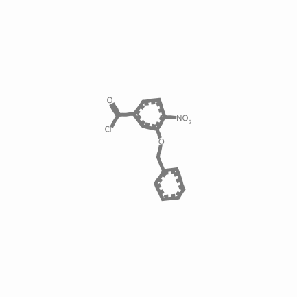 O=C(Cl)c1ccc([N+](=O)[O-])c(OCc2ccccc2)c1